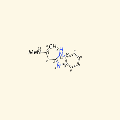 C=C(Cc1nc2ccccc2[nH]1)NC